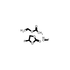 C=COC(C)=O.CF.O=C1OCC(F)O1